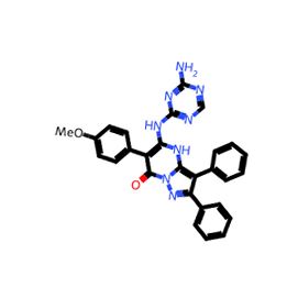 COc1ccc(-c2c(Nc3ncnc(N)n3)[nH]c3c(-c4ccccc4)c(-c4ccccc4)nn3c2=O)cc1